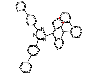 c1ccc(-c2ccc(-c3nc(-c4ccc(-c5ccccc5)cc4)nc(-c4c5ccccc5c(-c5ccccc5-c5ccccc5)c5ccccc45)n3)cc2)cc1